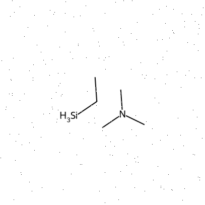 CC[SiH3].CN(C)C